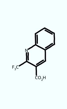 O=C(O)c1cc2ccccc2nc1C(F)(F)F